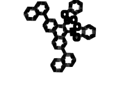 c1ccc2c(c1)OB(c1c(B3Oc4ccccc4O3)c3cc(-c4cccc5ccccc45)ccc3c3ccc(-c4cccc5ccccc45)cc13)O2